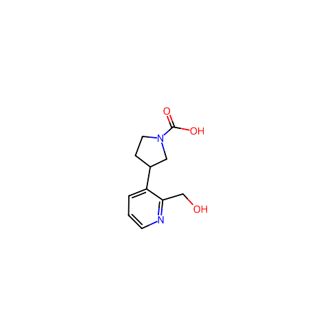 O=C(O)N1CCC(c2cccnc2CO)C1